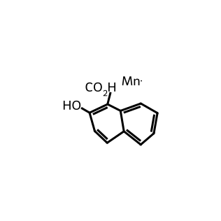 O=C(O)c1c(O)ccc2ccccc12.[Mn]